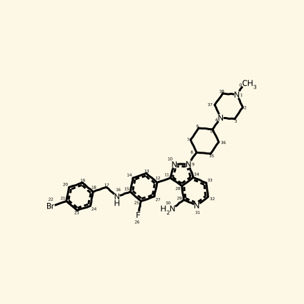 CN1CCN(C2CCC(n3nc(-c4ccc(NCc5ccc(Br)cc5)c(F)c4)c4c(N)nccc43)CC2)CC1